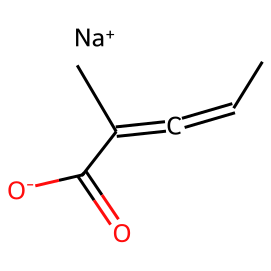 CC=C=C(C)C(=O)[O-].[Na+]